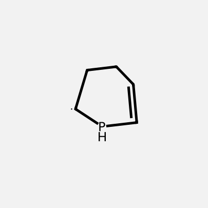 [CH]1CCC=CP1